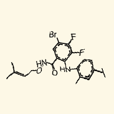 CC(C)=CCONC(=O)c1cc(Br)c(F)c(F)c1Nc1ccc(I)cc1C